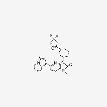 Cn1c(=O)n(C2CCCN(C(=O)CC(F)(F)F)C2)c2nc(-c3cnn4ccccc34)ccc21